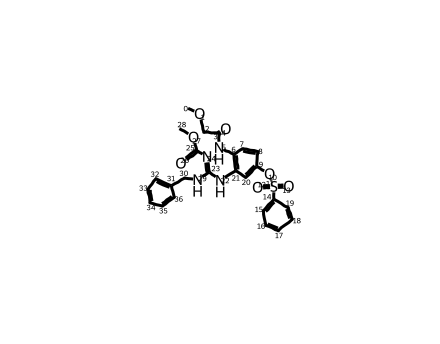 COCC(=O)Nc1ccc(OS(=O)(=O)c2ccccc2)cc1NC(=NC(=O)OC)NCc1ccccc1